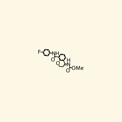 COC(=O)N[C@H]1CCOc2c(C(=O)Nc3ccc(F)cc3)cccc21